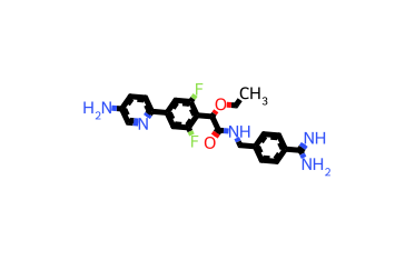 CCOC(C(=O)NCc1ccc(C(=N)N)cc1)c1c(F)cc(-c2ccc(N)cn2)cc1F